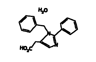 O.O=C(O)Cc1cnc(-c2ccccc2)n1Cc1ccccc1